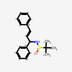 CC(C)(C)[S+]([O-])NC(/C=C/c1ccccc1)c1ccccc1